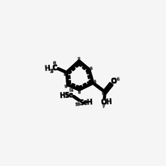 Cc1ccc(C(=O)O)cc1.[SeH][SeH]